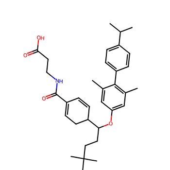 Cc1cc(OC(CCC(C)(C)C)C2C=CC(C(=O)NCCC(=O)O)=CC2)cc(C)c1-c1ccc(C(C)C)cc1